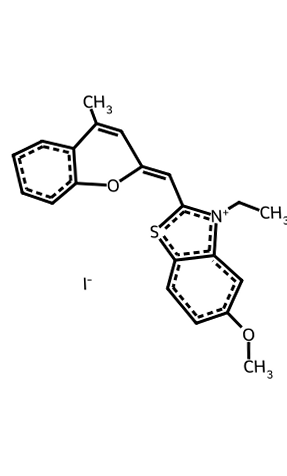 CC[n+]1c(C=C2C=C(C)c3ccccc3O2)sc2ccc(OC)cc21.[I-]